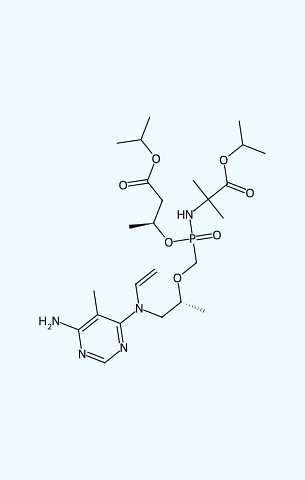 C=CN(C[C@@H](C)OCP(=O)(NC(C)(C)C(=O)OC(C)C)O[C@@H](C)CC(=O)OC(C)C)c1ncnc(N)c1C